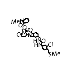 CNc1ccccc1C(=O)OCN1C(=O)CCC(N2Cc3cc(CNC(=O)Nc4ccc(CCSC)c(Cl)c4)ccc3C2=O)C1=O